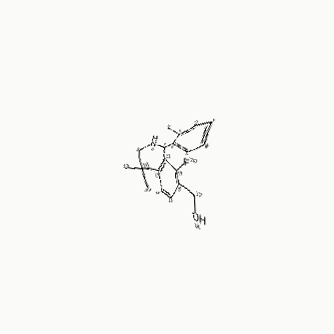 Cc1ccccc1C1NCC(C)(C)c2ccc(CO)c(F)c21